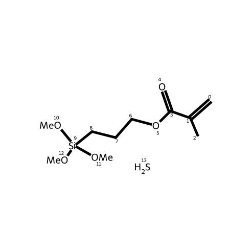 C=C(C)C(=O)OCCC[Si](OC)(OC)OC.S